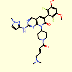 COc1cc(OC)c(F)c(-c2cc3cnc(Nc4ccn(C)n4)nc3n(C3CCN(C(=O)/C=C/CN(C)C)CC3)c2=O)c1F